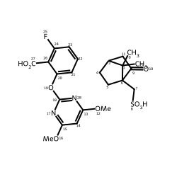 CC1(C)C2CCC1(CS(=O)(=O)O)C(=O)C2.COc1cc(OC)nc(Oc2cccc(F)c2C(=O)O)n1